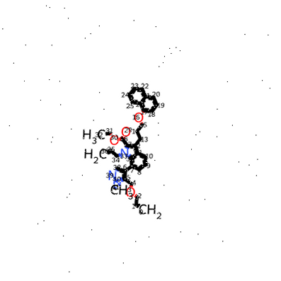 C=CCOCc1c(-c2cccc3c(CCCOc4cccc5ccccc45)c(C(=O)OCC)n(CC=C)c23)cnn1C